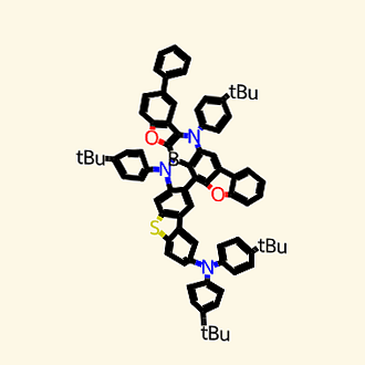 CC(C)(C)c1ccc(N2B3c4oc5ccc(-c6ccccc6)cc5c4N(c4ccc(C(C)(C)C)cc4)c4cc5c(oc6ccccc65)c(c43)-c3cc4c(cc32)sc2ccc(N(c3ccc(C(C)(C)C)cc3)c3ccc(C(C)(C)C)cc3)cc24)cc1